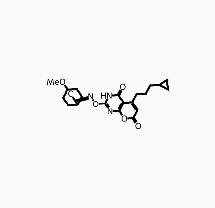 COC12CCC(CC1)/C(=N\Oc1nc3oc(=O)cc(CCCC4CC4)c3c(=O)[nH]1)C2